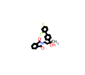 CC(O)(CCN1C(=O)c2ccccc2C1=O)c1ccc(-c2ccc(F)cc2F)cc1